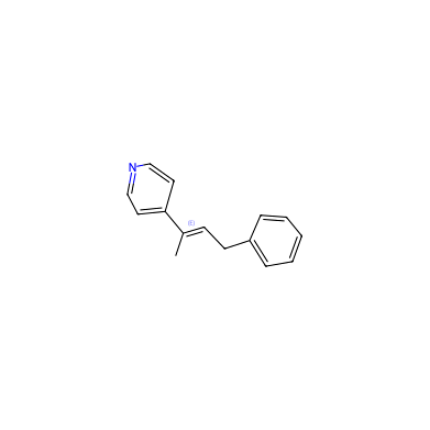 C/C(=C\Cc1ccccc1)c1ccncc1